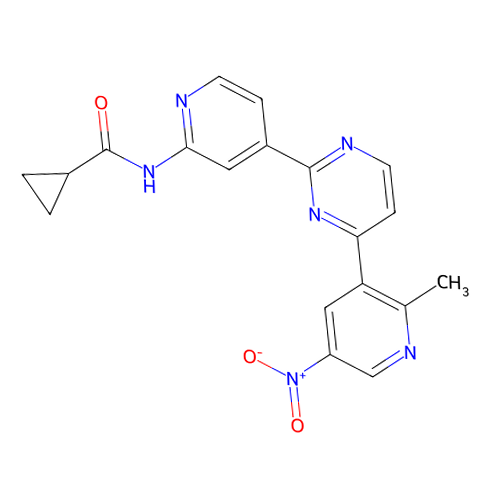 Cc1ncc([N+](=O)[O-])cc1-c1ccnc(-c2ccnc(NC(=O)C3CC3)c2)n1